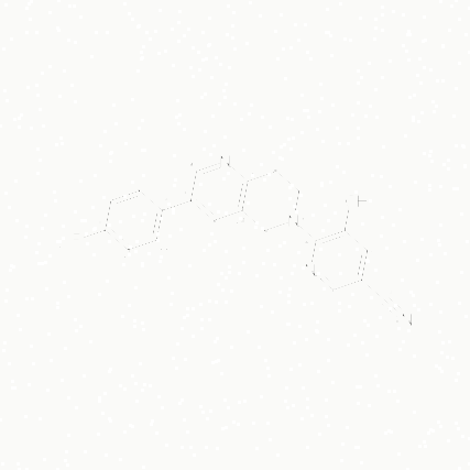 Cc1cc(C#N)cnc1N1CCc2ncc(-c3ccc(F)cc3)cc2C1